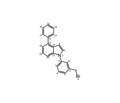 BrCc1cccc(-n2ccc3c(-c4ccccc4)cccc32)c1